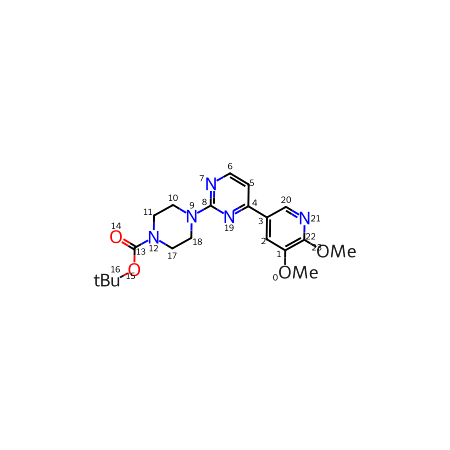 COc1cc(-c2ccnc(N3CCN(C(=O)OC(C)(C)C)CC3)n2)cnc1OC